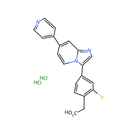 Cl.Cl.O=C(O)Cc1ccc(-c2cnc3cc(-c4ccncc4)ccn23)cc1F